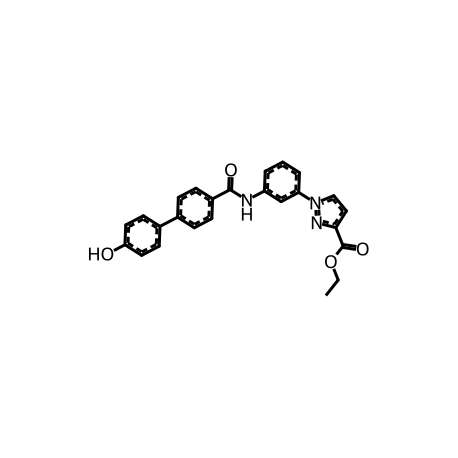 CCOC(=O)c1ccn(-c2cccc(NC(=O)c3ccc(-c4ccc(O)cc4)cc3)c2)n1